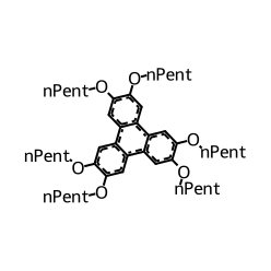 CCCCCOc1cc2c3cc(OCCCCC)c(OCCCCC)cc3c3cc(OCCCCC)c(OCCCCC)cc3c2cc1OCCCCC